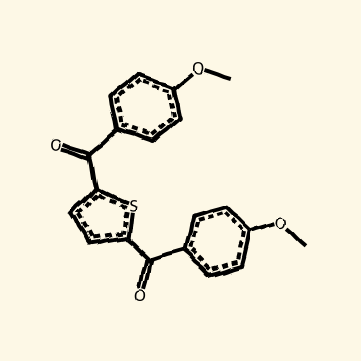 COc1ccc(C(=O)c2ccc(C(=O)c3ccc(OC)cc3)s2)cc1